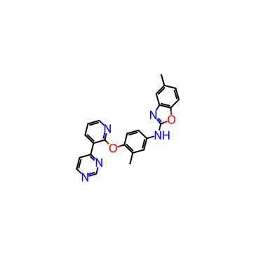 Cc1ccc2oc(Nc3ccc(Oc4ncccc4-c4ccncn4)c(C)c3)nc2c1